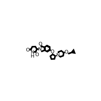 O=C1CCC(N2Cc3cc(O[C@H]4CCC[C@@H]4N4CCC(OCC5CC5)CC4)ccc3C2=O)C(=O)N1